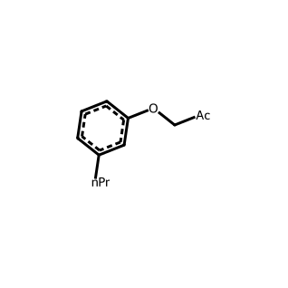 CCCc1cccc(OCC(C)=O)c1